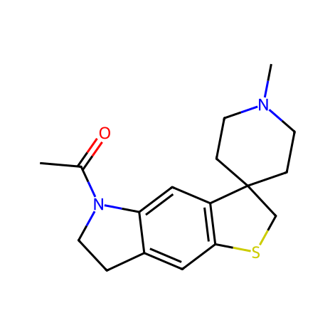 CC(=O)N1CCc2cc3c(cc21)C1(CCN(C)CC1)CS3